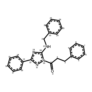 O=C(CCc1ccccc1)n1nc(-c2ccccc2)nc1NCc1ccccc1